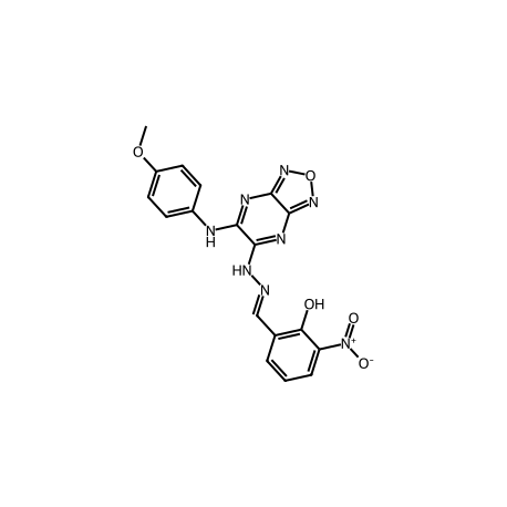 COc1ccc(Nc2nc3nonc3nc2NN=Cc2cccc([N+](=O)[O-])c2O)cc1